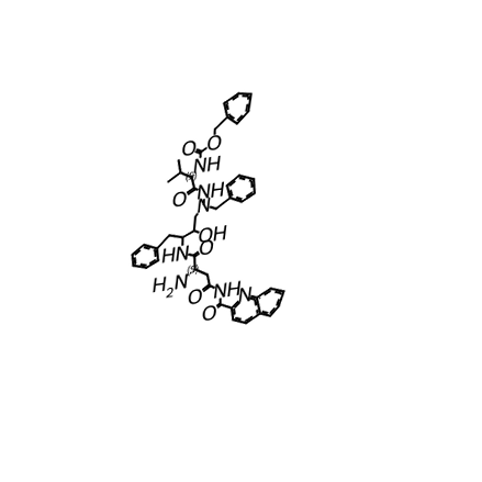 CC(C)[C@H](NC(=O)OCc1ccccc1)C(=O)NN(Cc1ccccc1)CC(O)C(Cc1ccccc1)NC(=O)[C@@H](N)CC(=O)NC(=O)c1ccc2ccccc2n1